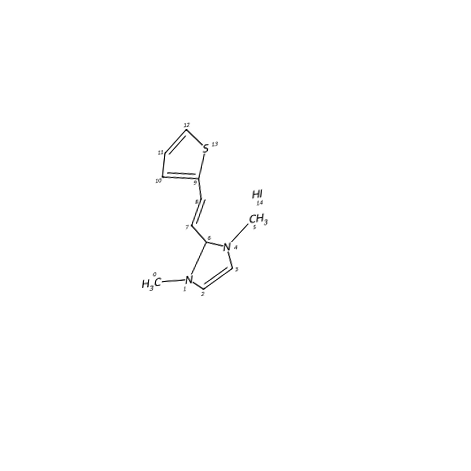 CN1C=CN(C)C1C=Cc1cccs1.I